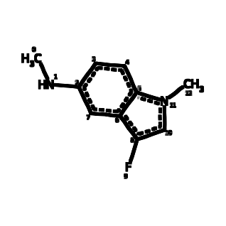 CNc1ccc2c(c1)c(F)cn2C